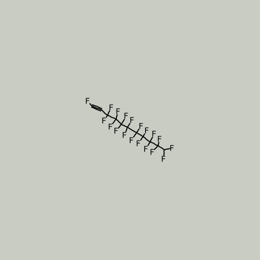 FC#CC(F)(F)C(F)(F)C(F)(F)C(F)(F)C(F)(F)C(F)(F)C(F)(F)C(F)(F)C(F)F